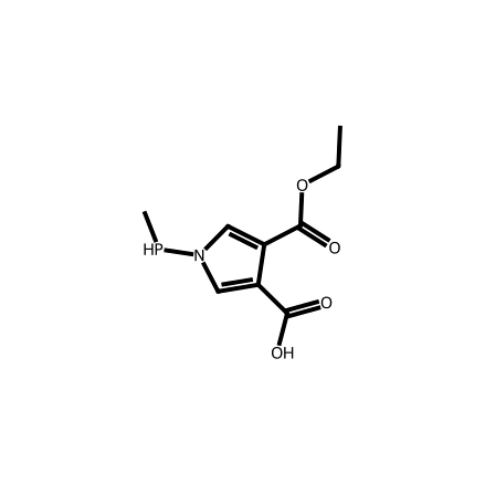 CCOC(=O)c1cn(PC)cc1C(=O)O